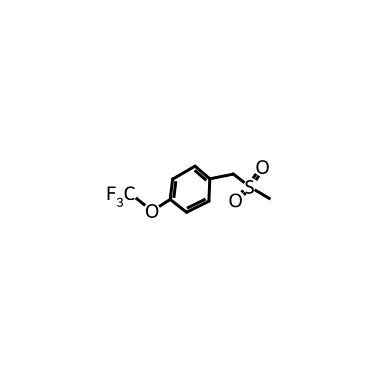 CS(=O)(=O)Cc1ccc(OC(F)(F)F)cc1